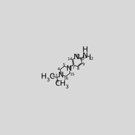 CC(C)N1CCN(c2ccc(NI)nc2)CC1